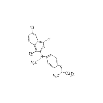 CCOC(=O)C(C)Oc1ccc(N(C)c2nc(Cl)c3cc(Cl)ccc3c2Cl)cc1